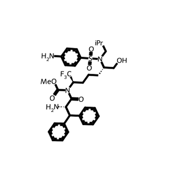 COC(=O)N(C(=O)[C@@H](N)C(c1ccccc1)c1ccccc1)[C@H](CCC[C@@H](CO)N(CC(C)C)S(=O)(=O)c1ccc(N)cc1)C(F)(F)F